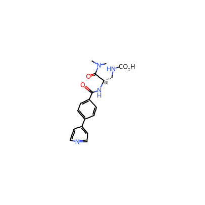 CN(C)C(=O)[C@H](CNC(=O)O)NC(=O)c1ccc(-c2ccncc2)cc1